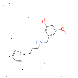 COc1cc(CNCCCc2ccccc2)cc(OC)c1